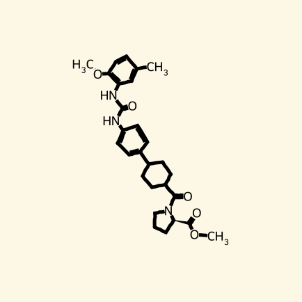 COC(=O)[C@H]1CCCN1C(=O)C1CCC(c2ccc(NC(=O)Nc3cc(C)ccc3OC)cc2)CC1